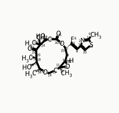 Cc1nc(C=C(F)[C@@H]2C[C@H]3O[C@@]3(C)CCO[C@H](C)[C@@H](O)[C@@H](C)C(=O)C(C)(C)[C@@H](O)CC(=O)O2)cs1